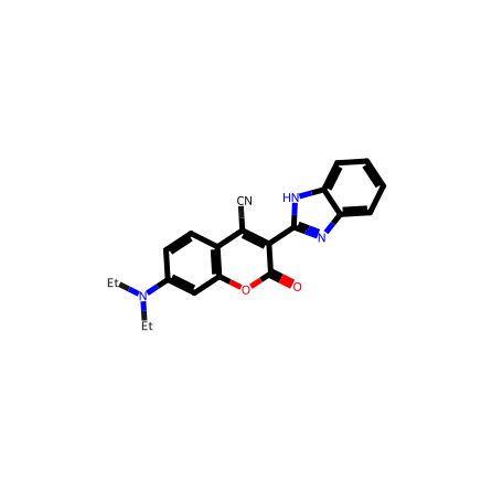 CCN(CC)c1ccc2c(C#N)c(-c3nc4ccccc4[nH]3)c(=O)oc2c1